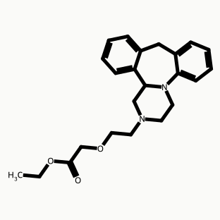 CCOC(=O)COCCN1CCN2c3ccccc3Cc3ccccc3C2C1